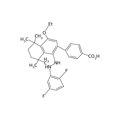 CCOc1cc(-c2ccc(C(=O)O)cc2)c(NNc2cc(F)ccc2F)c2c1C(C)(C)CCC2(C)C